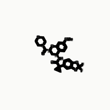 COc1ccc2c(c1)O[C@@H](C(=O)N1CCOCC1)C[C@H]2NC(=O)C1(c2ccc3c(c2)OC(F)(F)O3)CC1